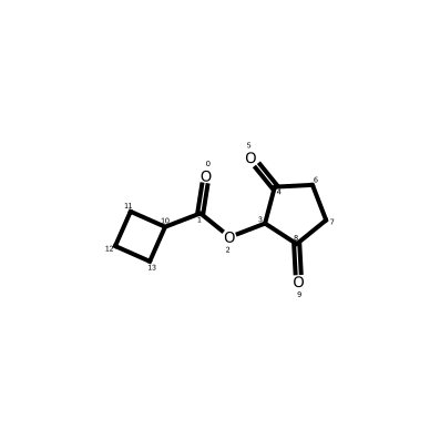 O=C(OC1C(=O)CCC1=O)C1CCC1